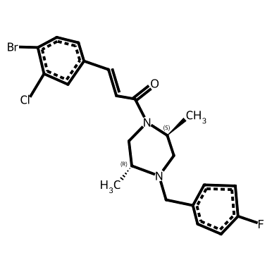 C[C@@H]1CN(C(=O)C=Cc2ccc(Br)c(Cl)c2)[C@@H](C)CN1Cc1ccc(F)cc1